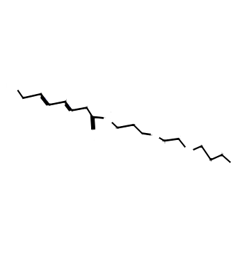 CC/C=C/C=C/CC(=O)OCCCOCCOCCCC